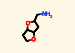 NCC1CC2OCCC2O1